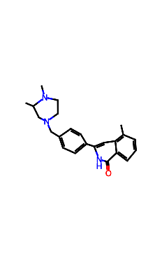 Cc1cccc2c(=O)[nH]c(-c3ccc(CN4CCN(C)C(C)C4)cc3)cc12